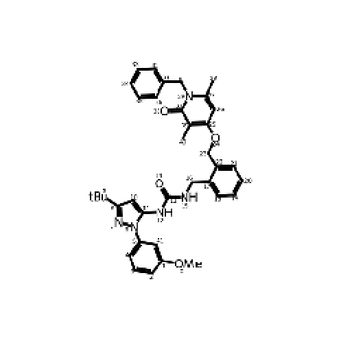 COc1cccc(-n2nc(C(C)(C)C)cc2NC(=O)NCc2ccccc2COc2cc(C)n(Cc3ccccc3)c(=O)c2C)c1